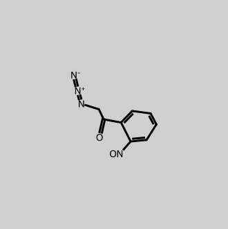 [N-]=[N+]=NCC(=O)c1ccccc1N=O